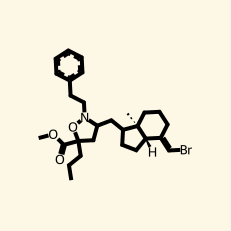 CCCC1(C(=O)OC)CC(CC2CC[C@H]3/C(=C/Br)CCC[C@]23C)N(CCc2ccccc2)O1